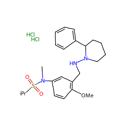 COc1ccc(N(C)S(=O)(=O)C(C)C)cc1CNN1CCCCC1c1ccccc1.Cl.Cl